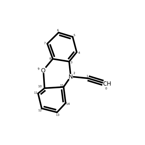 C#CN1c2ccccc2Oc2ccccc21